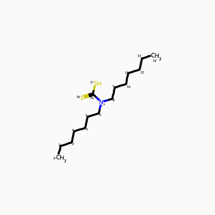 CCCCCCCN(CCCCCCC)C(=S)S